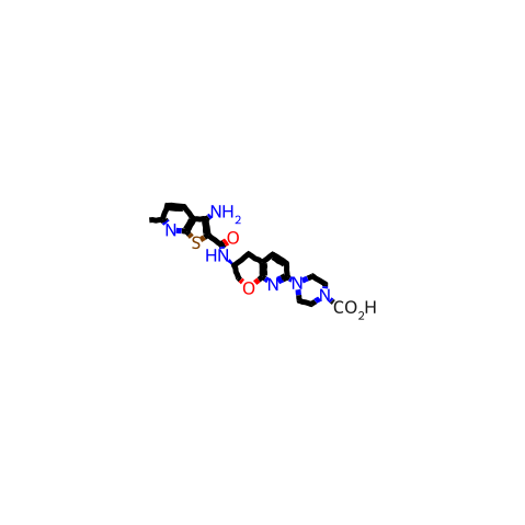 Cc1ccc2c(N)c(C(=O)N[C@@H]3COc4nc(N5CCN(C(=O)O)CC5)ccc4C3)sc2n1